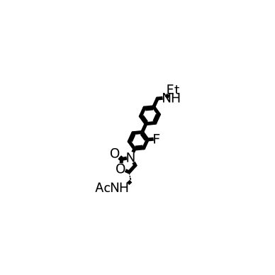 CCNCc1ccc(-c2ccc(N3C[C@H](CNC(C)=O)OC3=O)cc2F)cc1